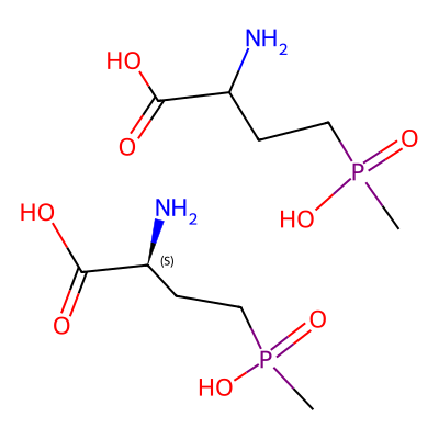 CP(=O)(O)CCC(N)C(=O)O.CP(=O)(O)CC[C@H](N)C(=O)O